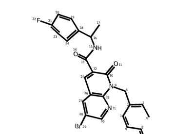 C\C=C(/C=C\C=C\CC)Cn1c(=O)c(C(=O)NC(C)c2ccc(F)cc2)cc2cc(Br)cnc21